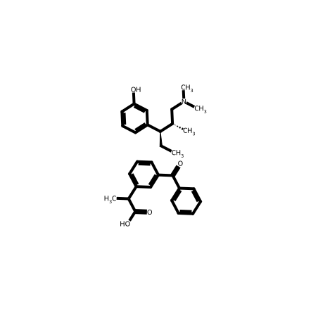 CC(C(=O)O)c1cccc(C(=O)c2ccccc2)c1.CC[C@@H](c1cccc(O)c1)[C@@H](C)CN(C)C